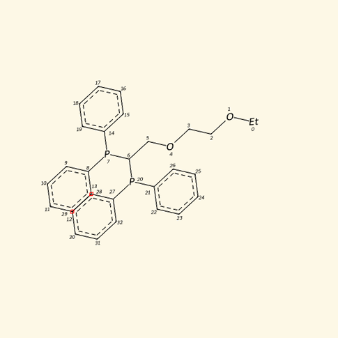 CCOCCOCC(P(c1ccccc1)c1ccccc1)P(c1ccccc1)c1ccccc1